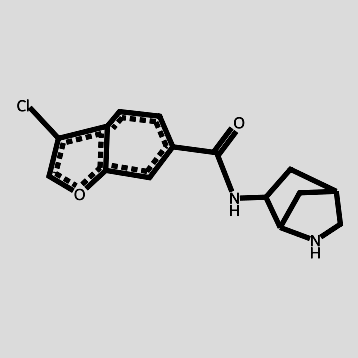 O=C(NC1CC2CNC1C2)c1ccc2c(Cl)coc2c1